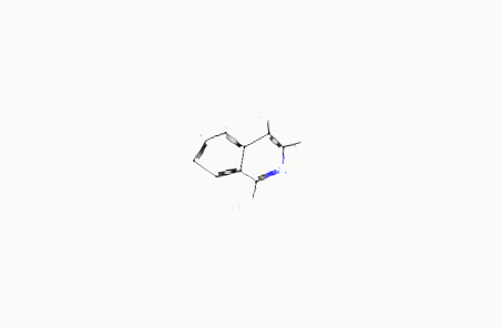 Cc1nc(C(C)C)c(C(F)(F)F)c2ccccc12